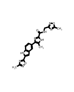 Cc1noc(-c2cc3cc(-c4nc(C(=O)NCc5noc(C)n5)[nH]c4C)ccc3[nH]2)n1